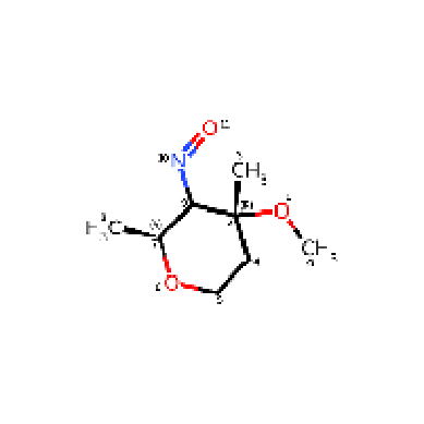 CO[C@]1(C)CCO[C@@H](C)C1N=O